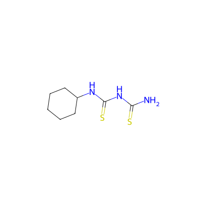 NC(=S)NC(=S)NC1CCCCC1